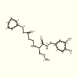 CC(C)(C)OC[C@@H](NCCC(=O)CCc1ccccc1)C(=O)NCc1ccc(Cl)c(Cl)c1